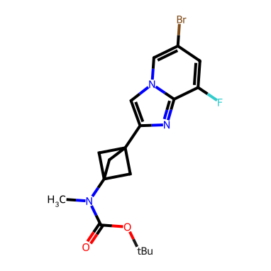 CN(C(=O)OC(C)(C)C)C12CC(c3cn4cc(Br)cc(F)c4n3)(C1)C2